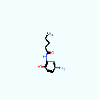 CCCCC(=O)Nc1cc(N)ccc1O